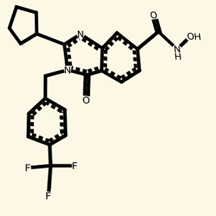 O=C(NO)c1ccc2c(=O)n(Cc3ccc(C(F)(F)F)cc3)c(C3CCCC3)nc2c1